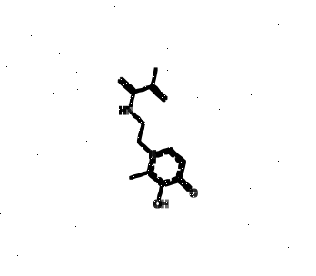 C=C(C)C(=C)NCCn1ccc(=O)c(O)c1C